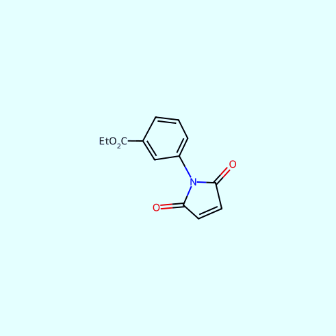 CCOC(=O)c1cccc(N2C(=O)C=CC2=O)c1